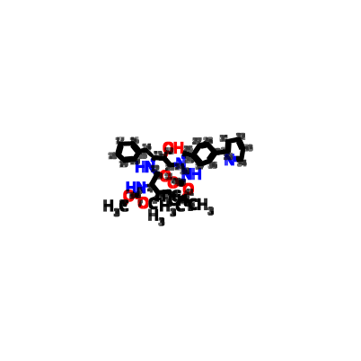 CC[C@H](C)[C@H](NC(=O)OC)C(=O)N[C@@H](Cc1ccccc1)[C@@H](O)CN(Cc1ccc(-c2ccccn2)cc1)NC(=O)OC(C)(C)C